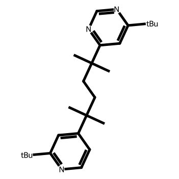 CC(C)(C)c1cc(C(C)(C)CCC(C)(C)c2cc(C(C)(C)C)ncn2)ccn1